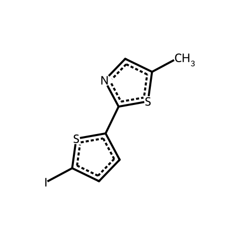 Cc1cnc(-c2ccc(I)s2)s1